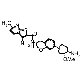 CO[C@@H]1CN(c2ccc3c(c2)OC[C@H](NC(=O)c2sc4nc(C)ccc4c2N)C3)CC[C@H]1N